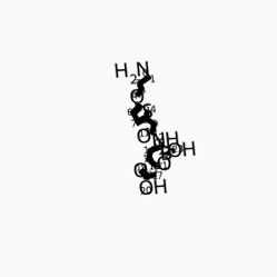 NCCCOc1ccc(CC(=O)N[C@H]2CC[C@@H](CC(=O)O)OB2O)s1